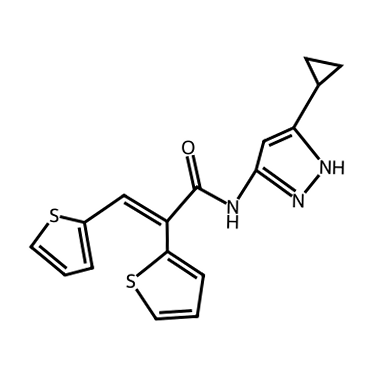 O=C(Nc1cc(C2CC2)[nH]n1)C(=Cc1cccs1)c1cccs1